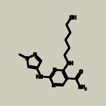 Cn1cc(Nc2ncc(C(N)=O)c(NCCCCCO)n2)cn1